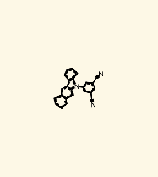 N#Cc1cc(C#N)cc(-n2c3ccccc3c3cc4ccccc4cc32)c1